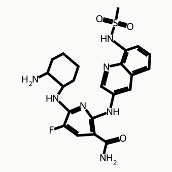 CS(=O)(=O)Nc1cccc2cc(Nc3nc(NC4CCCCC4N)c(F)cc3C(N)=O)cnc12